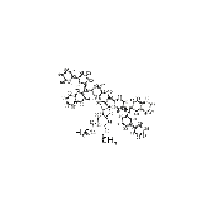 CCCCCCCC1(CCCCCCC)c2cc(N(c3cccc(-c4ccccc4)c3)c3ccc4ccccc4c3)ccc2-c2cc3ccc(N(c4cccc(-c5ccccc5)c4)c4ccc5ccccc5c4)cc3cc21